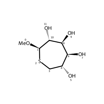 CO[C@@H]1SC[C@@H](O)[C@H](O)[C@H](O)[C@H]1O